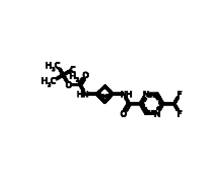 CC(C)(C)OC(=O)NC12CC(NC(=O)c3cnc(C(F)F)cn3)(C1)C2